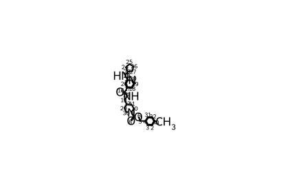 Cc1ccc(COC(=O)N2CCC(CNC(=O)c3ccnc(NC4CCCC4)c3)CC2)cc1